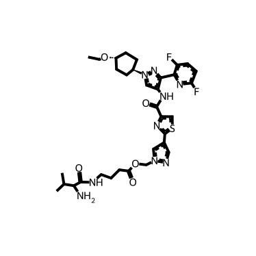 CCO[C@H]1CC[C@H](n2cc(NC(=O)c3csc(-c4cnn(COC(=O)CCCNC(=O)C(N)C(C)C)c4)n3)c(-c3nc(F)ccc3F)n2)CC1